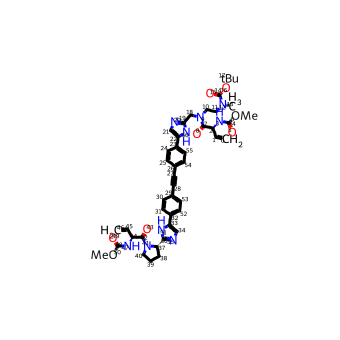 C=C[C@H](NC(=O)OC)C(=O)N(CCN(C)C(=O)OC(C)(C)C)Cc1ncc(-c2ccc(C#Cc3ccc(-c4cnc([C@@H]5CCCN5C(=O)[C@H](C=C)NC(=O)OC)[nH]4)cc3)cc2)[nH]1